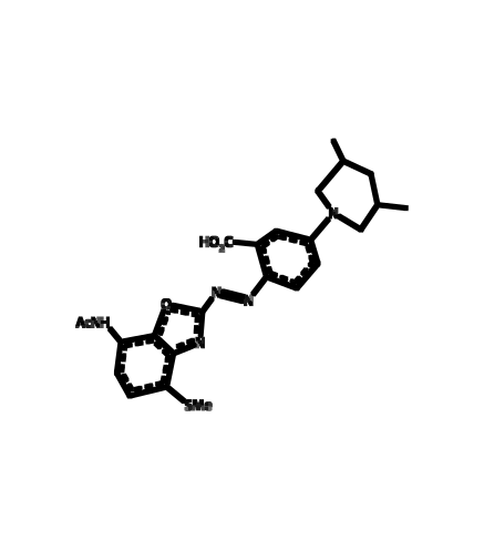 CSc1ccc(NC(C)=O)c2oc(N=Nc3ccc(N4CC(C)CC(C)C4)cc3C(=O)O)nc12